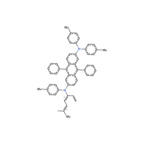 C=C/C(=C\C=C(/C)C(C)(C)C)N(c1ccc(C(C)(C)C)cc1)c1ccc2c(-c3ccccc3)c3cc(N(c4ccc(C(C)(C)C)cc4)c4ccc(C(C)(C)C)cc4)ccc3c(-c3ccccc3)c2c1